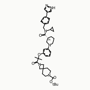 CC(C)(C)OC(=O)N1CCC2(CC1)CN(C(=O)C(C)(C)Oc1cccc(N3CCC[C@@H](C(=O)N(Cc4ccc(-c5cn[nH]c5)cc4)C4CC4)C3)c1)C2